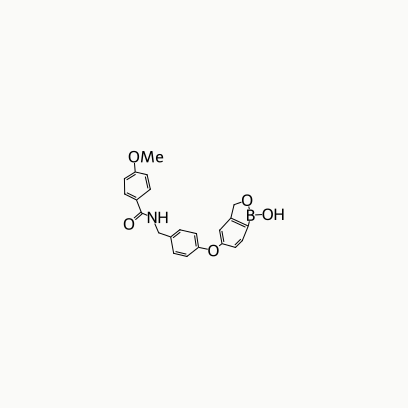 COc1ccc(C(=O)NCc2ccc(Oc3ccc4c(c3)COB4O)cc2)cc1